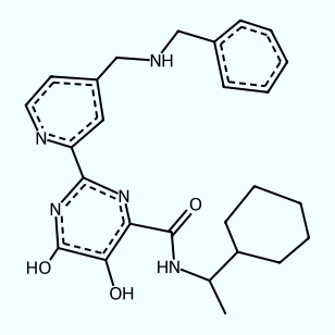 CC(NC(=O)c1nc(-c2cc(CNCc3ccccc3)ccn2)nc(O)c1O)C1CCCCC1